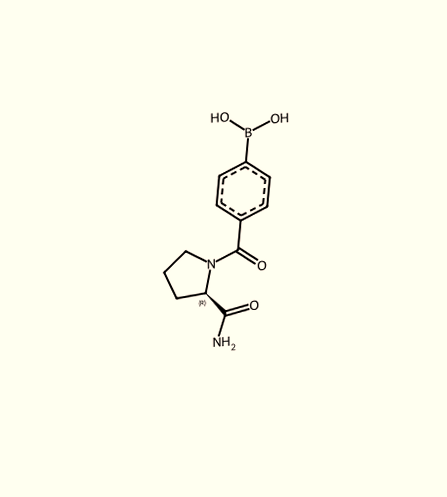 NC(=O)[C@H]1CCCN1C(=O)c1ccc(B(O)O)cc1